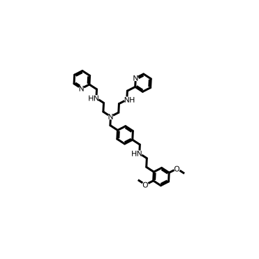 COc1ccc(OC)c(CCNCc2ccc(CN(CCNCc3ccccn3)CCNCc3ccccn3)cc2)c1